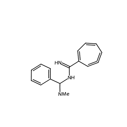 CNC(NC(=N)C1=CC=CC=C=C1)c1ccccc1